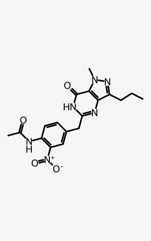 CCCc1nn(C)c2c(=O)[nH]c(Cc3ccc(NC(C)=O)c([N+](=O)[O-])c3)nc12